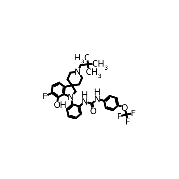 CC(C)(C)CN1CCC2(CC1)CN(c1ccccc1NC(=O)Nc1ccc(OC(F)(F)F)cc1)c1c2ccc(F)c1O